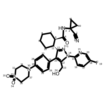 N#CC1(NC(=O)[C@@H]2CCCC[C@H]2c2nn(-c3ccc(F)cn3)c(CO)c2-c2ccc(N3CCS(=O)(=O)CC3)cc2)CC1